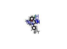 CC(C)c1ccc(C(c2cn[nH]c2-c2ccccc2F)N2CCN(C)CC2)cc1